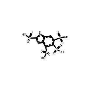 O=S(=O)(O)c1nc2c(S(=O)(=O)O)c(S(=O)(=O)O)c(S(=O)(=O)O)cc2[nH]1